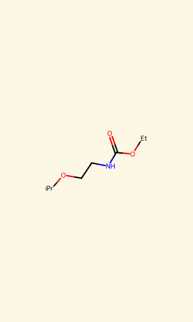 CCOC(=O)NCCOC(C)C